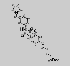 CCCCCCCCCCCCCCOc1ccc(NC(=O)Nc2cccc(C[n+]3ccsc3)c2)c(Cl)c1.[Br-]